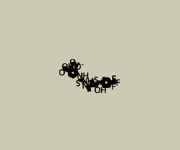 CC(=NNC(=S)NC1=CC(C)([N+](=O)[O-])C(C(=O)O)C=C1)c1csc(-c2ccc(C(F)(F)F)cc2)c1O